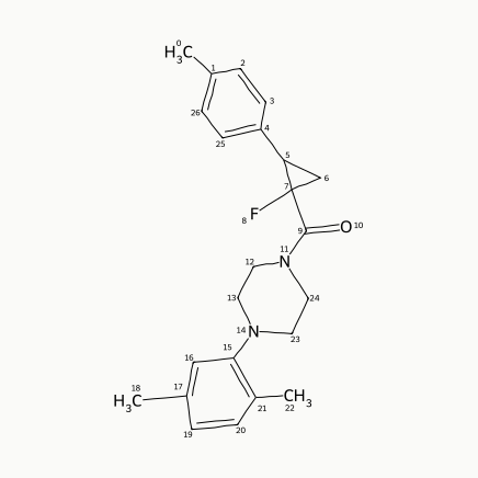 Cc1ccc(C2CC2(F)C(=O)N2CCN(c3cc(C)ccc3C)CC2)cc1